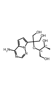 C[C@H](O)[C@@H](CO)OC(CO)(CO)c1ccc2c(N)ncnn12